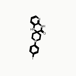 O=C1Nc2ncccc2NC12CCN(c1ccc(I)cc1)CC2